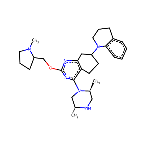 C[C@@H]1CN(c2nc(OCC3CCCN3C)nc3c2CCC(N2CCCc4ccccc42)C3)[C@@H](C)CN1